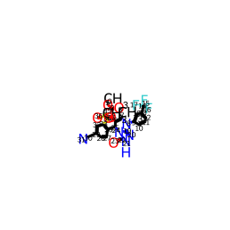 COC(=O)OC1=C(C)N(c2cccc(C(F)(F)F)c2)c2n[nH]c(=O)n2C1c1ccc(C#N)cc1S(C)(=O)=O